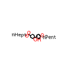 CCCCCCCOC(=O)C1CCC(O)(c2ccc(OCCCCC)cc2)CC1